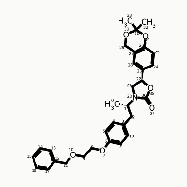 C[C@@H](Cc1ccc(OCCOCc2ccccc2)cc1)N1C[C@@H](c2ccc3c(c2)COC(C)(C)O3)OC1=O